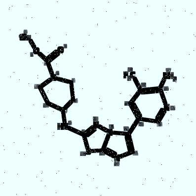 CC(C)(C)OC(=O)N1CCC(Nc2nn3c(-c4cnc(N)c(C(F)(F)F)c4)cnc3s2)CC1